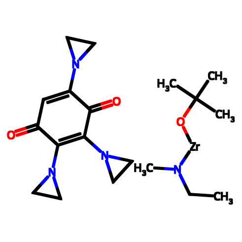 CC[N](C)[Zr][O]C(C)(C)C.O=C1C=C(N2CC2)C(=O)C(N2CC2)=C1N1CC1